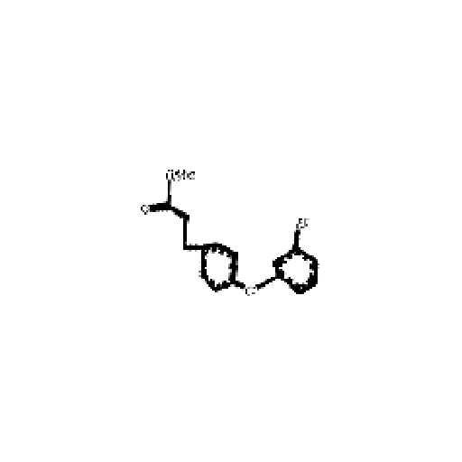 CCc1cccc(Oc2ccc(CCC(=O)OC)cc2)c1